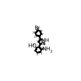 Nc1cccc(O)c1-c1cc(-c2ccc(Br)cc2)[nH]n1